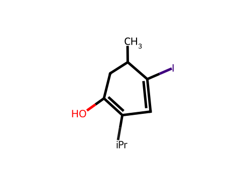 CC(C)C1=C(O)CC(C)C(I)=C1